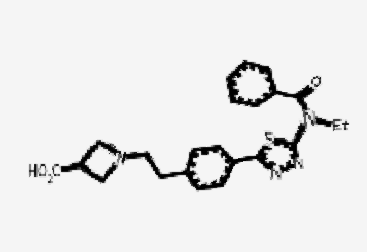 CCN(C(=O)c1ccccc1)c1nnc(-c2ccc(CCN3CC(C(=O)O)C3)cc2)s1